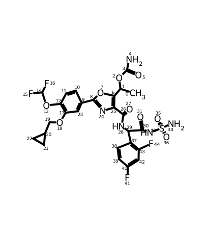 CC(OC(N)=O)c1oc(-c2ccc(OC(F)F)c(OCC3CC3)c2)nc1C(=O)NC(C(=O)NS(N)(=O)=O)c1ccc(F)cc1F